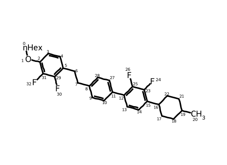 CCCCCCOc1ccc(CCc2ccc(-c3ccc(C4CCC(C)CC4)c(F)c3F)cc2)c(F)c1F